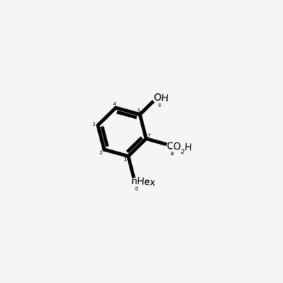 CCCCCCc1cccc(O)c1C(=O)O